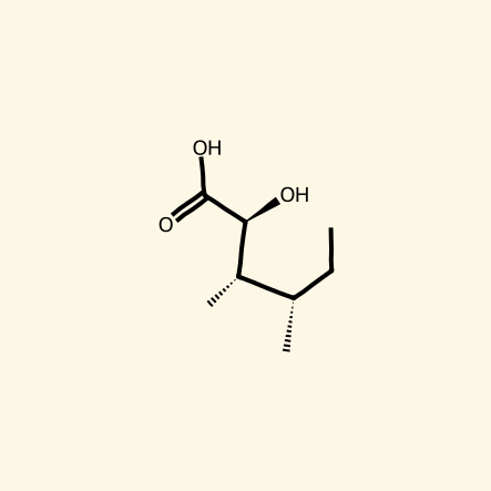 CC[C@H](C)[C@H](C)[C@H](O)C(=O)O